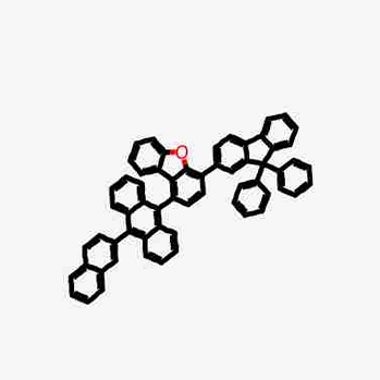 c1ccc(C2(c3ccccc3)c3ccccc3-c3ccc(-c4ccc(-c5c6ccccc6c(-c6ccc7ccccc7c6)c6ccccc56)c5c4oc4ccccc45)cc32)cc1